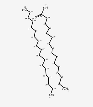 CCCCCCCCCCCCCCCC(=O)O.OCCCCCCCCCCCCCCCCCO